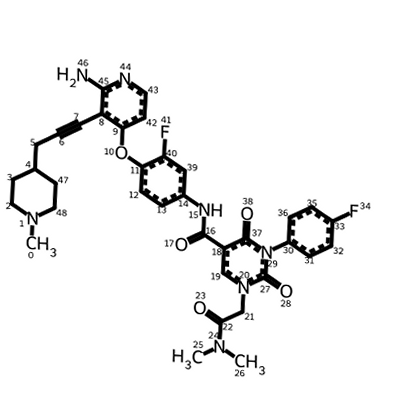 CN1CCC(CC#Cc2c(Oc3ccc(NC(=O)c4cn(CC(=O)N(C)C)c(=O)n(-c5ccc(F)cc5)c4=O)cc3F)ccnc2N)CC1